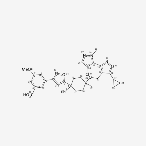 CCCC1(c2nc(-c3cc(OC)nc(C(=O)O)c3)no2)CCC(C)(OCc2c(-c3c(Cl)cnn3C)noc2C2CC2)CC1